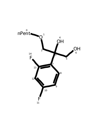 CCCCCOCC(O)(CO)c1ccc(F)cc1F